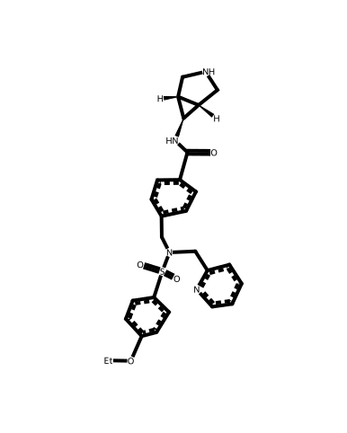 CCOc1ccc(S(=O)(=O)N(Cc2ccc(C(=O)N[C@H]3[C@@H]4CNC[C@@H]43)cc2)Cc2ccccn2)cc1